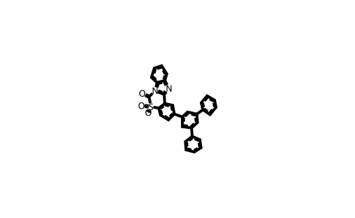 O=C1n2c(nc3ccccc32)-c2cc(-c3cc(-c4ccccc4)cc(-c4ccccc4)c3)ccc2S1(=O)=O